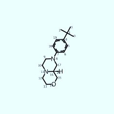 CC(C)(C)c1ccc(N2CCN3CCOC[C@H]3C2)cc1